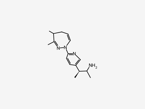 CC1=NN(c2ccc([C@H](C)C(C)N)cn2)C=CCC1C